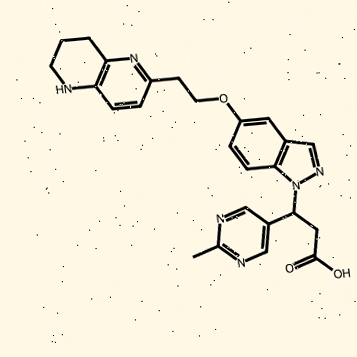 Cc1ncc(C(CC(=O)O)n2ncc3cc(OCCc4ccc5c(n4)CCCN5)ccc32)cn1